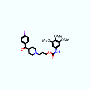 COc1cc(NC(=O)OCCCN2CCC(C(=O)c3ccc(I)cc3)CC2)cc(OC)c1OC